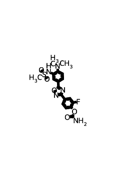 CN(C)c1ccc(-c2nc(-c3ccc(OC(N)=O)c(F)c3)no2)cc1NS(C)(=O)=O